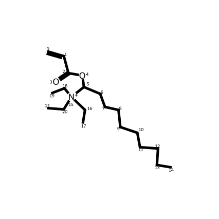 C=CC(=O)OC(CCCCCCCCC)[N+](CC)(CC)CC